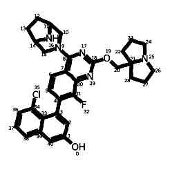 Oc1cc(-c2ccc3c(N4CC5CCC(C4)N5)nc(OCC45CCCN4CCC5)nc3c2F)c2c(Cl)cccc2c1